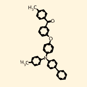 Cc1ccc(C(=O)c2cccc(Oc3ccc(N(c4ccc(C)cc4)c4ccc(-c5ccccc5)cc4)cc3)c2)cc1